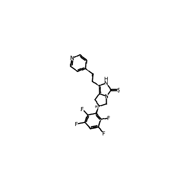 Fc1cc(F)c(F)c([C@H]2Cc3c(CCc4ccncc4)[nH]c(=S)n3C2)c1F